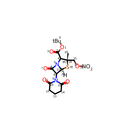 CC(C)(C)OC(=O)C1N2C(=O)C(N3C(=O)CCCC3=O)[C@@H]2S[C@@]1(C)CO[N+](=O)[O-]